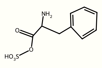 NC(Cc1ccccc1)C(=O)OS(=O)(=O)O